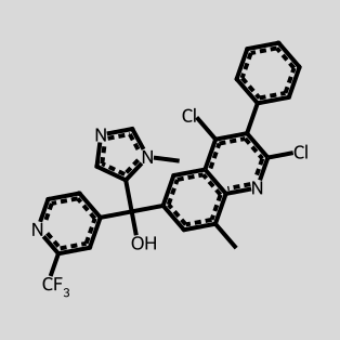 Cc1cc(C(O)(c2ccnc(C(F)(F)F)c2)c2cncn2C)cc2c(Cl)c(-c3ccccc3)c(Cl)nc12